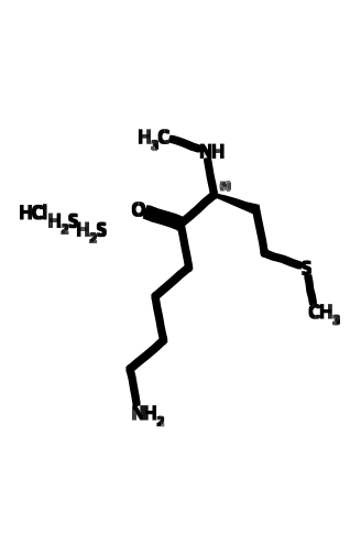 CN[C@@H](CCSC)C(=O)CCCCN.Cl.S.S